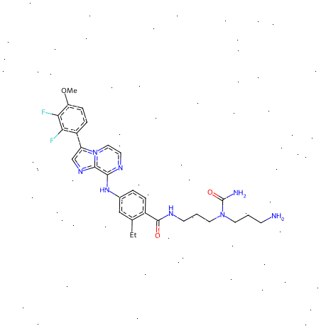 CCc1cc(Nc2nccn3c(-c4ccc(OC)c(F)c4F)cnc23)ccc1C(=O)NCCCN(CCCN)C(N)=O